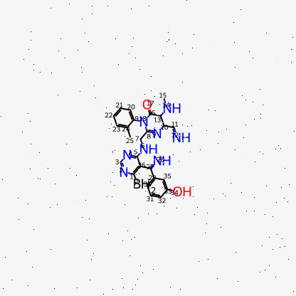 Bc1ncnc(NCC2=NC(C=N)C(NC)C(=O)N2c2ccccc2C)c1C(=N)c1cccc(O)c1